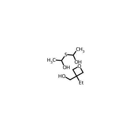 CC(O)SC(C)O.CCC1(CO)COC1